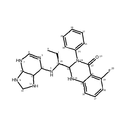 CC[C@H](NC1N=CNC2NCNC12)C1Nc2cccc(F)c2C(=O)N1c1ccccc1